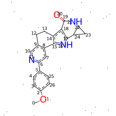 COc1ccc(-c2cc3c(cn2)CCc2c-3[nH]c3c2C(=O)NC2CC32)cc1